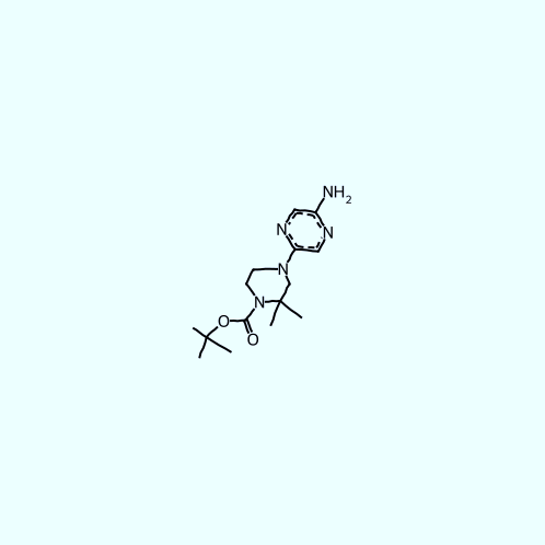 CC(C)(C)OC(=O)N1CCN(c2cnc(N)cn2)CC1(C)C